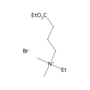 CCOC(=O)CCC[N+](C)(C)CC.[Br-]